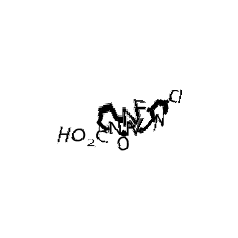 O=C(O)[C@@H]1CCCc2nn(Cc3ncc(Cl)cc3F)c(=O)n21